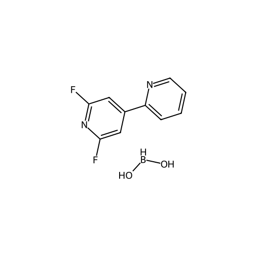 Fc1cc(-c2ccccn2)cc(F)n1.OBO